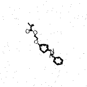 C=C(C)C(=O)OCCOc1ccc(N=Nc2ccccc2)cc1